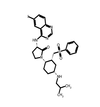 CC(C)CN[C@@H]1CC[C@H](N2CC[C@H](Nc3ncnc4ccc(I)cc34)C2=O)[C@H](CS(=O)(=O)c2ccccc2)C1